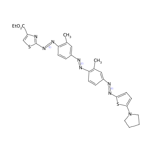 CCOC(=O)c1csc(/N=N/c2ccc(/N=N/c3ccc(/N=N/c4ccc(N5CCCC5)s4)cc3C)cc2C)n1